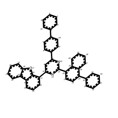 c1ccc(-c2ccc(-c3cc(-c4cccc5c4oc4ccccc45)nc(-c4ccc(-c5ccccc5)c5ccccc45)n3)cc2)cc1